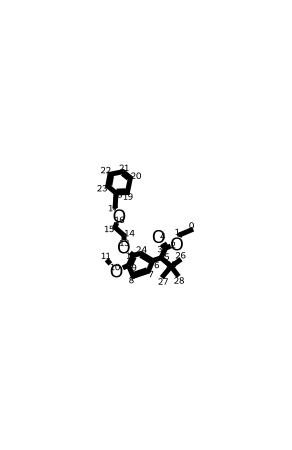 CCOC(=O)C(c1ccc(OC)c(OCCOCc2ccccc2)c1)C(C)(C)C